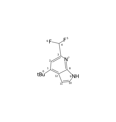 CC(C)(C)c1cc(C(F)F)nc2[nH]ccc12